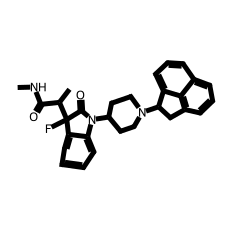 CNC(=O)C(C)C1(F)C(=O)N(C2CCN(C3Cc4cccc5cccc3c45)CC2)c2ccccc21